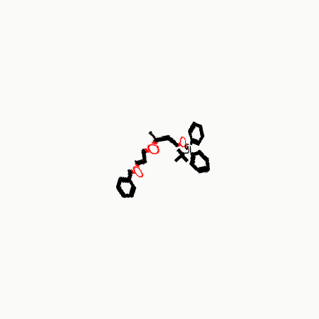 C[C@@H](CCO[Si](c1ccccc1)(c1ccccc1)C(C)(C)C)OCCCOCc1ccccc1